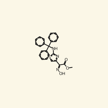 COC(=O)/C(=N\O)c1csc(NC(c2ccccc2)(c2ccccc2)c2ccccc2)n1